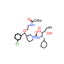 COC(=O)NCCO[C@@H](c1cccc(Cl)c1)C1CCCN(C(=O)N[C@@H](CC2CCCCC2)[C@@H](O)[C@@H](O)CC(C)C)C1